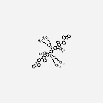 CCCCCCCCC1(CCCCCCCC)c2cc3c(cc2-c2cc4c(cc21)-c1cc2c(cc1C4(CCCCCCCC)CCCCCCCC)-c1c(cc(-c4cccc(-c5cccc6c5oc5ccccc56)c4)c4ccccc14)C2(C)C)C(C)(C)c1cc(-c2cccc(-c4cccc5c4oc4ccccc45)c2)c2ccccc2c1-3